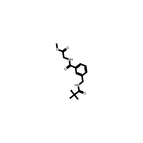 COC(=O)CNC(=O)c1cccc(CNC(=O)C(C)(C)C)c1